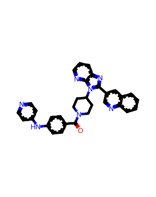 O=C(c1ccc(Nc2ccncc2)cc1)N1CCC(n2c(-c3cnc4ccccc4c3)nc3cccnc32)CC1